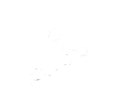 Fc1ccc(CCC2(Cn3ccnc3)OCC(COCc3cccc(Cl)c3)O2)cc1